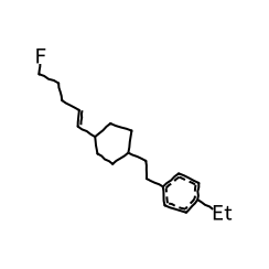 CCc1ccc(CCC2CCC(/C=C/CCCF)CC2)cc1